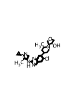 Cc1c(Nc2ncc3cc(Cl)c(C4CCN([C@@H]5COC[C@@H]5O)[C@@H](C)C4)cc3n2)cnn1C1CC1